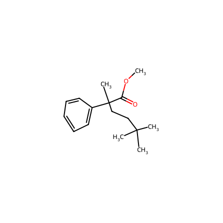 COC(=O)C(C)(CCC(C)(C)C)c1ccccc1